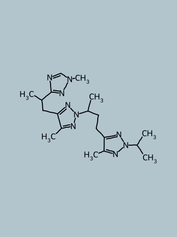 Cc1nn(C(C)C)nc1CCC(C)n1nc(C)c(CC(C)c2ncn(C)n2)n1